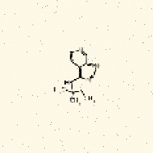 CCC(C)(C)Bc1ncnc2cnccc12